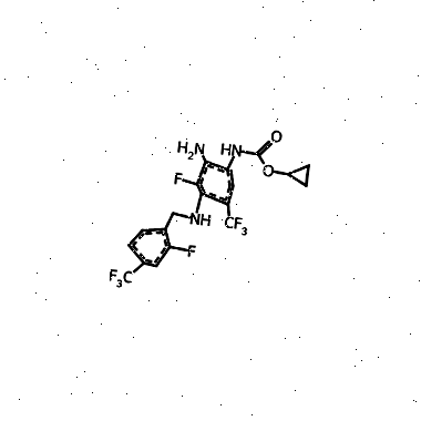 Nc1c(NC(=O)OC2CC2)cc(C(F)(F)F)c(NCc2ccc(C(F)(F)F)cc2F)c1F